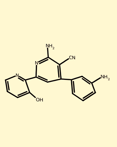 N#Cc1c(-c2cccc(N)c2)cc(-c2ncccc2O)nc1N